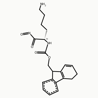 NCCCC[C@H](NC(=O)OCC1C2=C(CCC=C2)c2ccccc21)C(=O)N=O